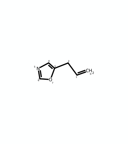 C=CCc1cn[c]o1